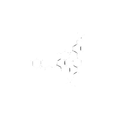 CC(C)(C)[Si](C)(C)Oc1ccc2c(c1)CCC(c1ccc(O[Si](C)(C)C(C)(C)C)cc1N(CCF)Cc1ccc(OCCN3CCCCC3)c(F)c1)C2